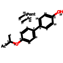 CC(=O)C(C)Oc1ccc(-c2ccc(O)cc2)cc1.CC(C)=O.CCCCCC